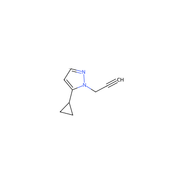 C#CCn1n[c]cc1C1CC1